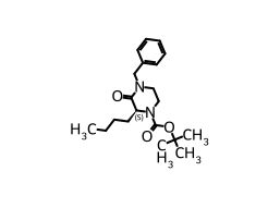 CCCC[C@H]1C(=O)N(Cc2ccccc2)CCN1C(=O)OC(C)(C)C